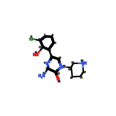 Nc1nc(-c2cccc(Cl)c2O)cn(C2CCCNC2)c1=O